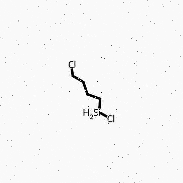 ClCCCC[SiH2]Cl